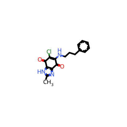 Cc1nc2c([nH]1)C(=O)C(Cl)=C(NCCCc1ccccc1)C2=O